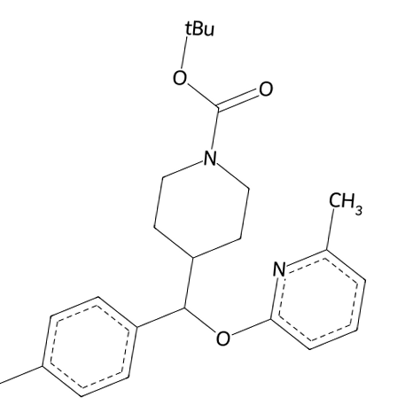 Cc1cccc(OC(c2ccc(Br)cc2)C2CCN(C(=O)OC(C)(C)C)CC2)n1